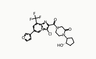 O=C(c1nc2c(C(F)(F)F)cc(-c3ccoc3)cn2c1Cl)N1CCN([C@H]2CCC[C@@H]2O)C(=O)C1